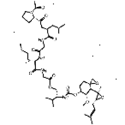 CO[C@@H]1[C@H](OC(=O)N[C@@H](COC(=O)CNC(=O)[C@H](CCSC)NC(=O)CNC(=O)[C@@H](CC(=O)[C@@H]2CCCN2C(C)=O)CC(C)C)C(C)C)CC[C@]2(CO2)[C@H]1[C@@]1(C)O[C@@H]1CC=C(C)C